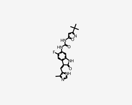 Cc1nc[nH]c1C=C1C(=O)Nc2cc(NC(=O)Nc3cc(C(C)(C)C)no3)c(F)cc21